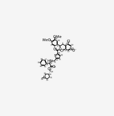 COc1ccc(C(Cc2c(Cl)c[n+]([O-])cc2Cl)OC(=O)c2ccc(CNC(C(=O)OC[C@@H]3CCN(C)C3)c3ccccc3)s2)cc1OC